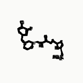 O=C(O)CC1=CSC(SCC(=O)NC[C@H]2CN(CC3C=C(F)C(Cl)=CC3)CCO2)N1